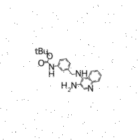 CC(C)(C)OC(=O)Nc1cccc(CNc2c(N)cnc3ccccc23)c1